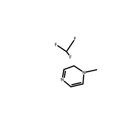 CN1C=CN=CC1.FC(F)F